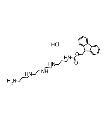 Cl.NCCCNCCNCCNCCCNC(=O)OCC1c2ccccc2-c2ccccc21